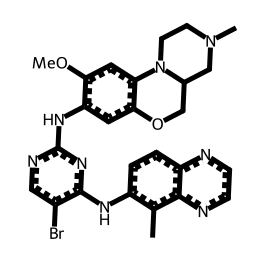 COc1cc2c(cc1Nc1ncc(Br)c(Nc3ccc4nccnc4c3C)n1)OCC1CN(C)CCN21